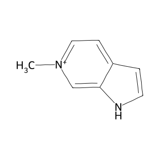 C[n+]1ccc2cc[nH]c2c1